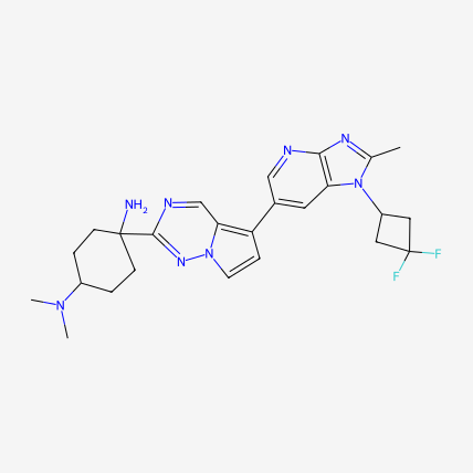 Cc1nc2ncc(-c3ccn4nc(C5(N)CCC(N(C)C)CC5)ncc34)cc2n1C1CC(F)(F)C1